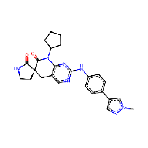 Cn1cc(-c2ccc(Nc3ncc4c(n3)N(C3CCCC3)C(=O)[C@]3(CCNC3=O)C4)cc2)cn1